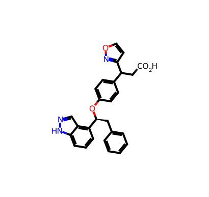 O=C(O)CC(c1ccc(O[C@@H](Cc2ccccc2)c2cccc3[nH]ncc23)cc1)c1ccon1